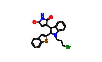 O=C1C=C(c2c(-c3cc4ccccc4s3)n(CCCBr)c3ccccc23)C(=O)N1